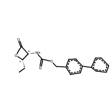 CC[C@@H]1OC(=O)[C@@H]1NC(=O)OCc1ccc(-c2ccccc2)cc1